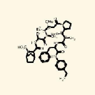 CC[C@H](C)[C@@H]([C@@H](CC(=O)N1CCCC1[C@H](OC)[C@@H](C)C(=O)NC(Cc1ccccc1)C(=O)Nc1ccc(CN)cc1)OC)N(C)C(=O)C(NC(=O)C1C2CCC(C2)N1C(=O)O)C(C)C